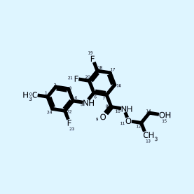 Cc1ccc(Nc2c(C(=O)NOC(C)CO)ccc(F)c2F)c(F)c1